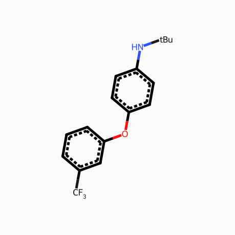 CC(C)(C)Nc1ccc(Oc2cccc(C(F)(F)F)c2)cc1